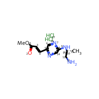 COC(=O)C=Cc1cnc(N[C@H](C)CN)cn1.Cl.Cl